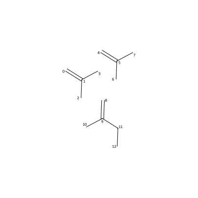 C=C(C)C.C=C(C)C.C=C(C)CC